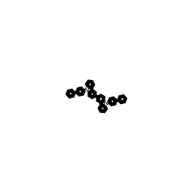 C1=CC(c2ccc(-n3c4c(c5ccccc53)C=C(c3ccc5c(c3)c3ccccc3n5-c3ccc(-c5ccccc5)cc3)CC4)cc2)=CCC1